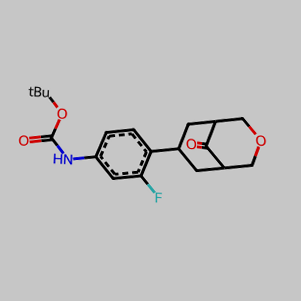 CC(C)(C)OC(=O)Nc1ccc(C2CC3COCC(C2)C3=O)c(F)c1